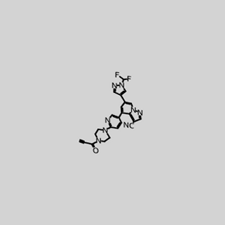 C#CC(=O)N1CCN(c2ccc(-c3cc(-c4cnn(C(F)F)c4)cn4ncc(C#N)c34)cn2)CC1